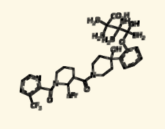 BC(O)(Oc1ccccc1C1(O)CCN(C(=O)C2CCCN(C(=O)c3ncccc3C(F)(F)F)C2CCC)CC1)C(B)(B)C(B)(B)C(=O)O